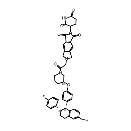 O=C1CCC(N2C(=O)c3cc4c(cc3C2=O)CN(CC(=O)N2CCC[C@H](Oc3ccc([C@@H]5c6ccc(O)cc6CC[C@@H]5c5ccc(F)cc5)cc3)C2)C4)C(=O)N1